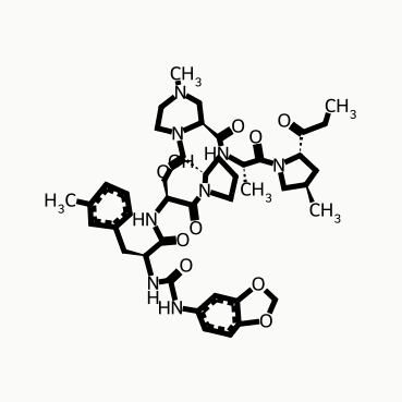 CCC(=O)[C@@H]1C[C@@H](C)CN1C(=O)[C@H](C)NC(=O)[C@@H]1CN(C)CCN1C(=O)[C@@H]1CCCN1C(=O)[C@H](CO)NC(=O)[C@H](Cc1cccc(C)c1)NC(=O)Nc1ccc2c(c1)OCO2